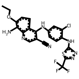 CCOc1ccc2c(Nc3ccc(Nc4nnc(C(F)(F)F)s4)c(Cl)c3)c(C#N)cnc2c1N